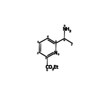 CCOC(=O)c1cccc(C(C)N)n1